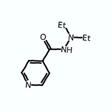 CCN(CC)NC(=O)c1ccncc1